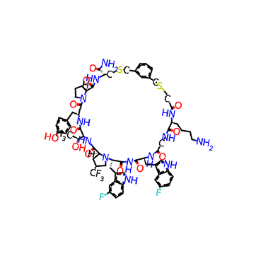 C[C@H](O)[C@@H]1NC(=O)[C@@H]2C[C@H](C(F)(F)F)CN2[C@@H](Cc2c[nH]c3ccc(F)cc23)C(=O)NC(=O)[C@H](Cc2c[nH]c3ccc(F)cc23)NC(=O)CNC(=O)[C@H](CCCCN)NC(=O)CCSCc2cccc(c2)CSC[C@@H](C(N)=O)NC(=O)[C@@H]2CCCN2C(=O)[C@H](Cc2ccc(O)cc2)NC1=O